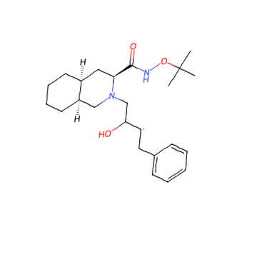 CC(C)(C)ONC(=O)[C@@H]1C[C@@H]2CCCC[C@@H]2CN1CC(O)[CH]Cc1ccccc1